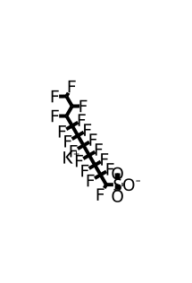 O=S(=O)([O-])C(F)C(F)(F)C(F)(F)C(F)(F)C(F)(F)C(F)(F)C(F)(F)C(F)C(F)C(F)F.[K+]